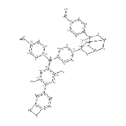 C=Cc1ccc(C23CC4CC(C2)CC(c2ccc(N(c5ccc(CCCC)cc5)c5cc(C)c(-c6ccc7c(c6)CC7)cc5C)cc2)(C4)C3)cc1